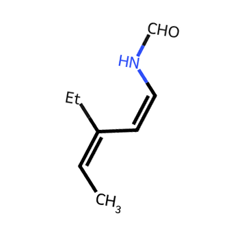 C/C=C(\C=C/NC=O)CC